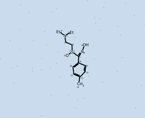 CCN(CC)CC[S+]([O-])C(=NO)c1ccc(C)cc1